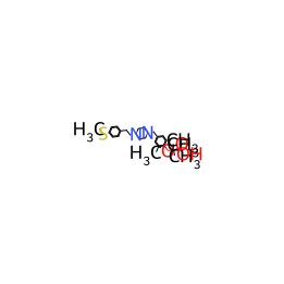 CSc1ccc(CCN2CCN(Cc3cc(C)c(OC(C)(C)C(=O)O)c(C)c3)CC2)cc1